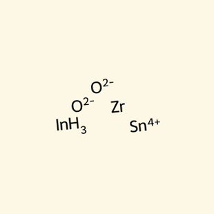 [InH3].[O-2].[O-2].[Sn+4].[Zr]